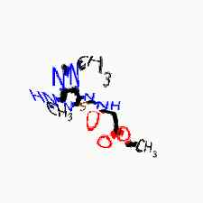 CCOC(=O)CC(=O)Nc1nc2c(nc(NC)c3ncn(C)c32)s1